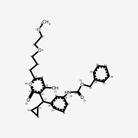 COCCOCCCc1cc(O)c(C(c2cccc(NC(=O)OCc3ccccc3)c2)C2CC2)c(=O)o1